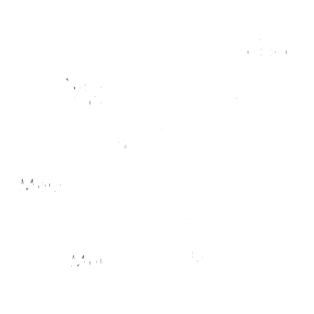 COC1=C(OC)C(=O)C(CCC(=O)[O-])=C(C)C1=O.[Na+]